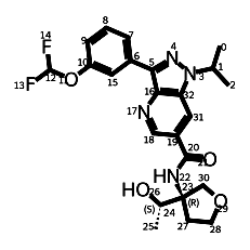 CC(C)n1nc(-c2cccc(OC(F)F)c2)c2ncc(C(=O)N[C@]3([C@H](C)O)CCOC3)cc21